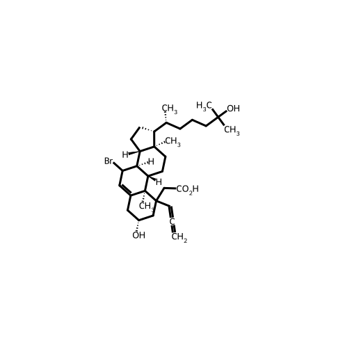 C=C=CC1(CC(=O)O)C[C@H](O)CC2=CC(Br)[C@H]3[C@@H]4CC[C@H]([C@H](C)CCCC(C)(C)O)[C@@]4(C)CC[C@@H]3[C@]21C